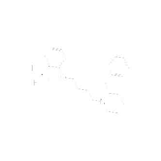 FC(F)(F)c1ccccc1OCCCCN1CCCCC1Cc1ccccc1